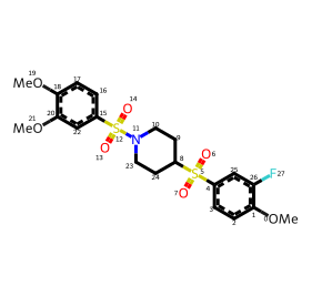 COc1ccc(S(=O)(=O)C2CCN(S(=O)(=O)c3ccc(OC)c(OC)c3)CC2)cc1F